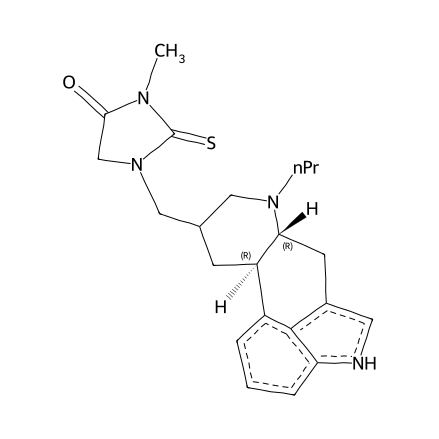 CCCN1CC(CN2CC(=O)N(C)C2=S)C[C@@H]2c3cccc4[nH]cc(c34)C[C@H]21